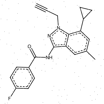 C#CCn1nc(NC(=O)c2ccc(F)cc2)c2cc(C)cc(C3CC3)c21